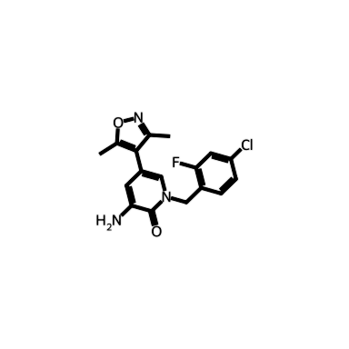 Cc1noc(C)c1-c1cc(N)c(=O)n(Cc2ccc(Cl)cc2F)c1